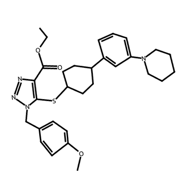 CCOC(=O)c1nnn(Cc2ccc(OC)cc2)c1SC1CCC(c2cccc(N3CCCCC3)c2)CC1